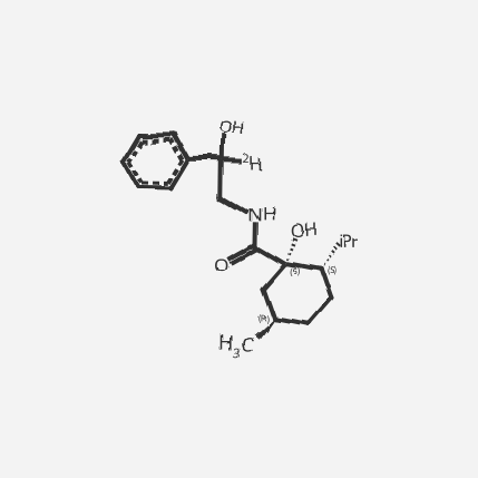 [2H]C(O)(CNC(=O)[C@]1(O)C[C@H](C)CC[C@H]1C(C)C)c1ccccc1